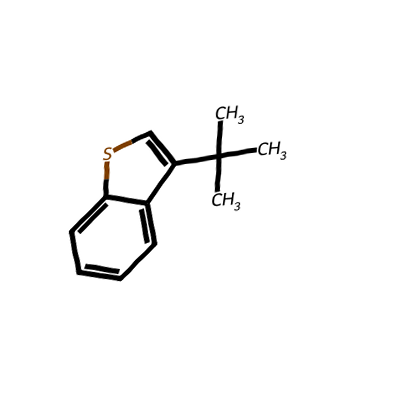 CC(C)(C)c1csc2ccccc12